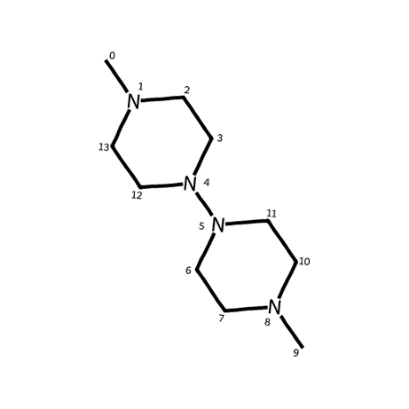 CN1CCN(N2CCN(C)CC2)CC1